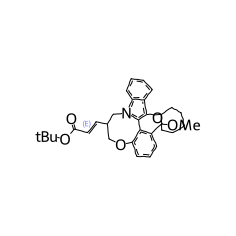 COC(=O)c1cccc2c1-c1c(C3CCCCC3)c3ccccc3n1CC(/C=C/C(=O)OC(C)(C)C)CO2